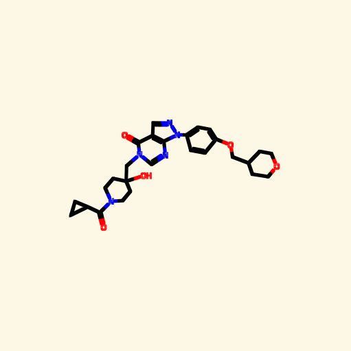 O=C(C1CC1)N1CCC(O)(Cn2cnc3c(cnn3-c3ccc(OCC4CCOCC4)cc3)c2=O)CC1